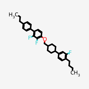 CCCCc1ccc(C2CCC(COc3ccc(-c4ccc(CCC)cc4)c(F)c3F)CC2)cc1F